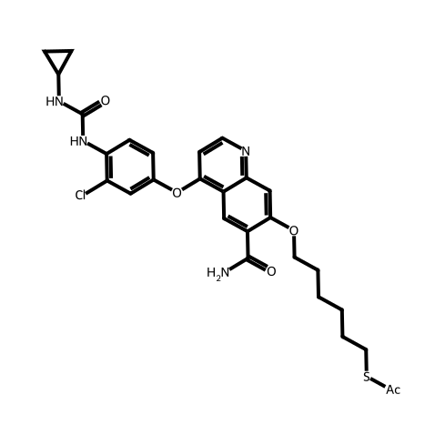 CC(=O)SCCCCCCOc1cc2nccc(Oc3ccc(NC(=O)NC4CC4)c(Cl)c3)c2cc1C(N)=O